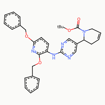 CC(C)(C)OC(=O)N1CC=CCC1c1cnc(Nc2ccc(OCc3ccccc3)nc2OCc2ccccc2)nc1